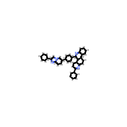 c1ccc(-c2ccc3c(ccc4c5ccccc5nc(-c5ccc(-c6ccc7nc(-c8ccccc8)cn7c6)cc5)c34)n2)cc1